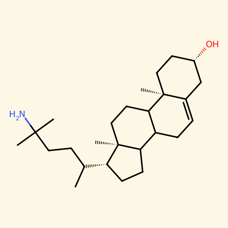 CC(CCC(C)(C)N)[C@H]1CCC2C3CC=C4C[C@@H](O)CC[C@]4(C)C3CC[C@@]21C